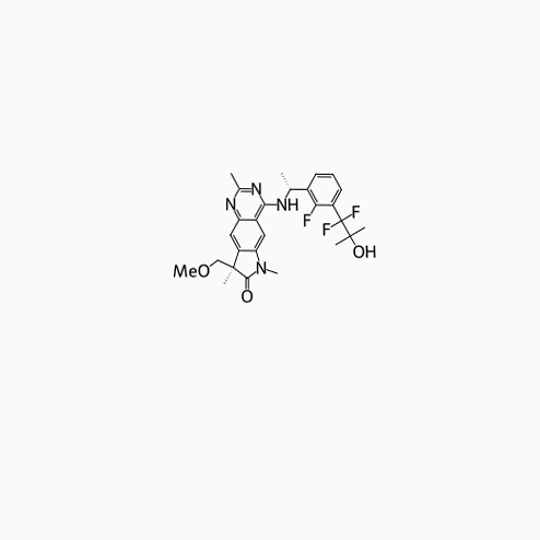 COC[C@]1(C)C(=O)N(C)c2cc3c(N[C@H](C)c4cccc(C(F)(F)C(C)(C)O)c4F)nc(C)nc3cc21